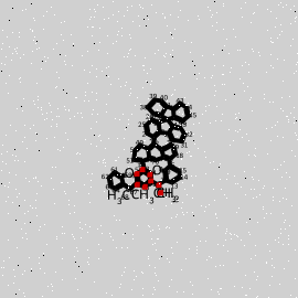 CCc1ccccc1Oc1c(CC)cccc1-c1cccc2c(-c3cccc4c3-c3ccccc3C43c4ccccc4-c4ccccc43)c3cccc(-c4cccc5c4Oc4ccccc4C5(C)C)c3cc12